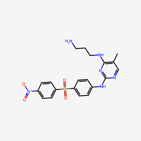 Cc1cnc(Nc2ccc(S(=O)(=O)c3ccc([N+](=O)[O-])cc3)cc2)nc1NCCCN